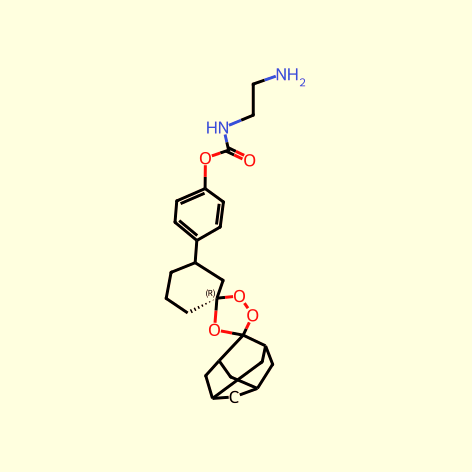 NCCNC(=O)Oc1ccc(C2CCC[C@]3(C2)OOC2(O3)C3CC4CC(C3)CC2C4)cc1